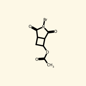 CC(=O)OC1CC2C(=O)N(Br)C(=O)C12